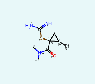 CC[C@@H]1C[C@@]1(SC(=N)N)C(=O)N(C)C